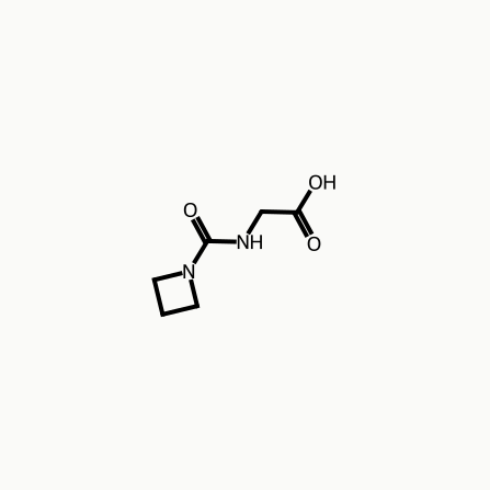 O=C(O)CNC(=O)N1CCC1